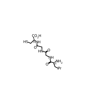 CC(C)C[C@H](N)C(=O)NCC(=O)NCC(=O)N[C@@H](CS)C(=O)O